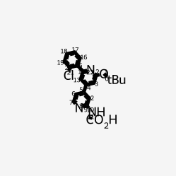 CC(C)(C)Oc1cc(-c2ccnc(NC(=O)O)c2)cc(-c2ccccc2Cl)n1